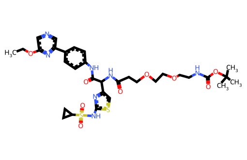 CCOc1cncc(-c2ccc(NC(=O)C(NC(=O)CCOCCOCCNC(=O)OC(C)(C)C)c3csc(NS(=O)(=O)C4CC4)n3)cc2)n1